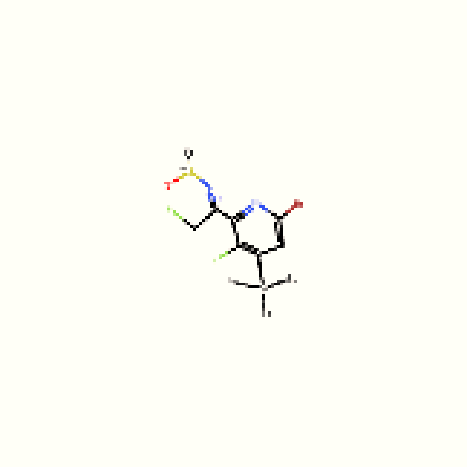 CC[S@@+]([O-])/N=C(\CF)c1nc(Br)cc([Si](CC)(CC)CC)c1F